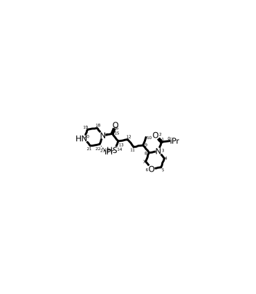 CC(C)C(=O)N1CCOCC1C(C)CCC(S)C(=O)N1CCNC[C@H]1C(C)C